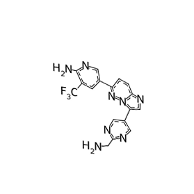 NCc1ncc(-c2cnc3ccc(-c4cnc(N)c(C(F)(F)F)c4)nn23)cn1